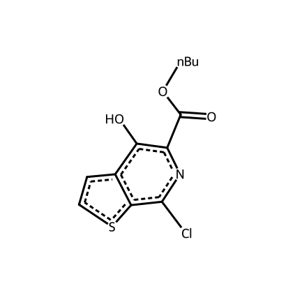 CCCCOC(=O)c1nc(Cl)c2sccc2c1O